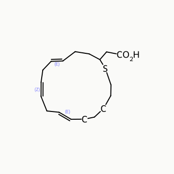 O=C(O)CC1CC/C=C/C/C=C\C/C=C/CCCCCS1